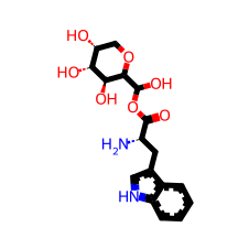 N[C@@H](Cc1c[nH]c2ccccc12)C(=O)OC(O)C1OC[C@@H](O)[C@@H](O)[C@@H]1O